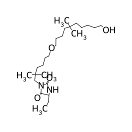 CCC1NC(=O)N(CC(C)(C)CCCCOCCCCC(C)(C)CCCCCO)C1=O